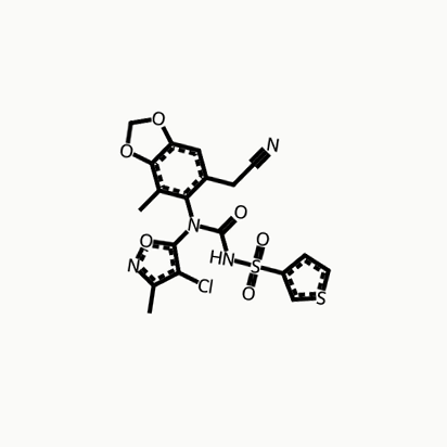 Cc1noc(N(C(=O)NS(=O)(=O)c2ccsc2)c2c(CC#N)cc3c(c2C)OCO3)c1Cl